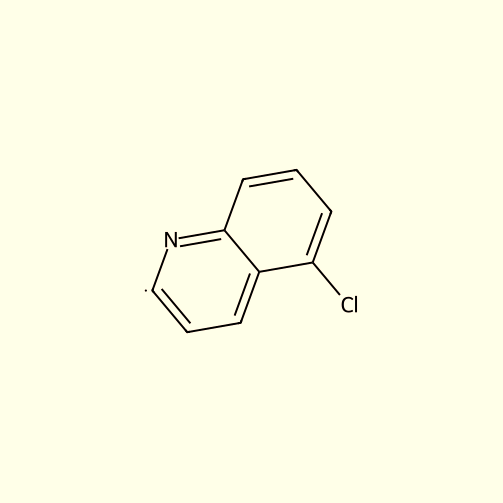 Clc1cccc2n[c]ccc12